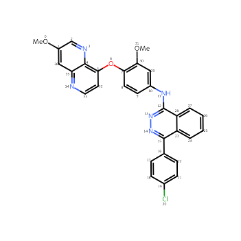 COc1cnc2c(Oc3ccc(Nc4nnc(-c5ccc(Cl)cc5)c5ccccc45)cc3OC)ccnc2c1